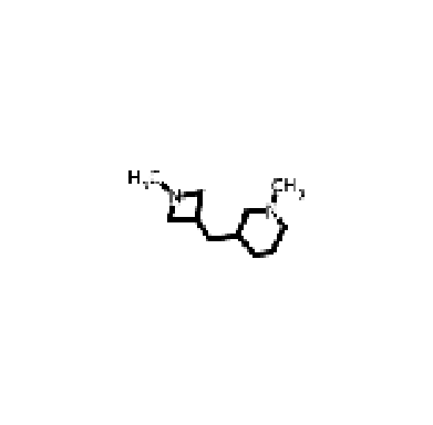 CN1CCCC(CC2CN(C)C2)C1